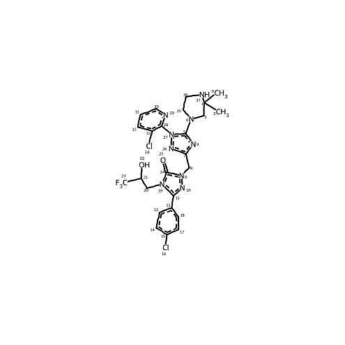 CC1(C)CN(c2nc(Cn3nc(-c4ccc(Cl)cc4)n(CC(O)C(F)(F)F)c3=O)nn2-c2ncccc2Cl)CCN1